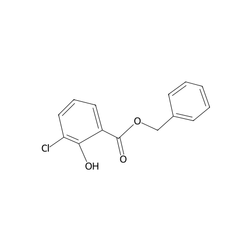 O=C(OCc1ccccc1)c1cccc(Cl)c1O